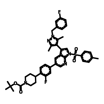 Cc1ccc(S(=O)(=O)n2cc(-c3c(C)nn(Cc4cccc(F)c4)c3C)c3cc(-c4ccc(C5CCN(C(=O)OC(C)(C)C)CC5)c(F)c4)cnc32)cc1